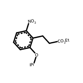 CCOC(=O)CCc1c(OC(C)C)cccc1[N+](=O)[O-]